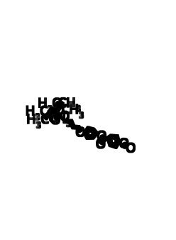 CC(C)(C)CC(C(=O)OCCCCOc1ccc(OC(=O)c2ccc(OC=O)cc2)cc1)C(C)(C)C